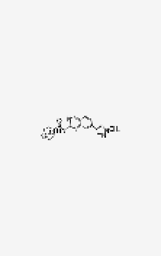 Cn1cc(-c2ccc3cnc(NC(=O)C45CCN(CC4)CC5)nc3c2)cn1